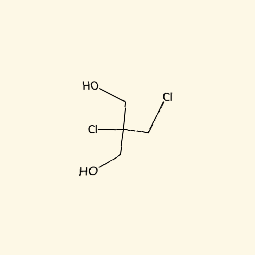 OCC(Cl)(CO)CCl